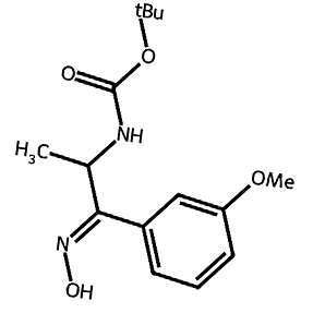 COc1cccc(/C(=N\O)C(C)NC(=O)OC(C)(C)C)c1